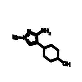 CCn1cc(C2CCC(O)CC2)c(N)n1